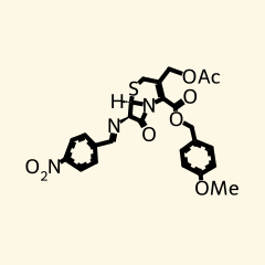 COc1ccc(COC(=O)C2=C(COC(C)=O)CS[C@@H]3[C@H](/N=C/c4ccc([N+](=O)[O-])cc4)C(=O)N23)cc1